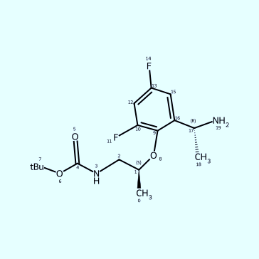 C[C@@H](CNC(=O)OC(C)(C)C)Oc1c(F)cc(F)cc1[C@@H](C)N